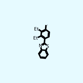 [CH2]c1ccc(-c2nc3ccccc3s2)c(CC)c1CC